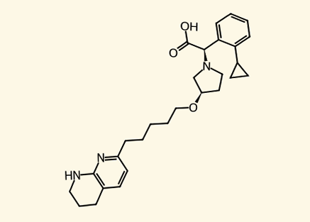 O=C(O)[C@@H](c1ccccc1C1CC1)N1CC[C@@H](OCCCCCc2ccc3c(n2)NCCC3)C1